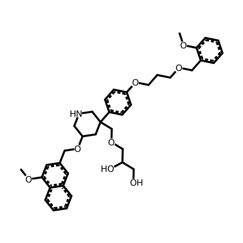 COc1ccccc1COCCCOc1ccc(C2(COCC(O)CO)CNCC(OCc3cc(OC)c4ccccc4c3)C2)cc1